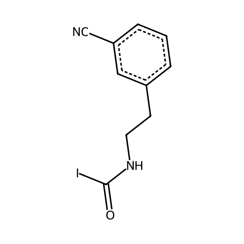 N#Cc1cccc(CCNC(=O)I)c1